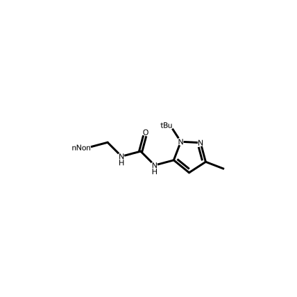 CCCCCCCCCCNC(=O)Nc1cc(C)nn1C(C)(C)C